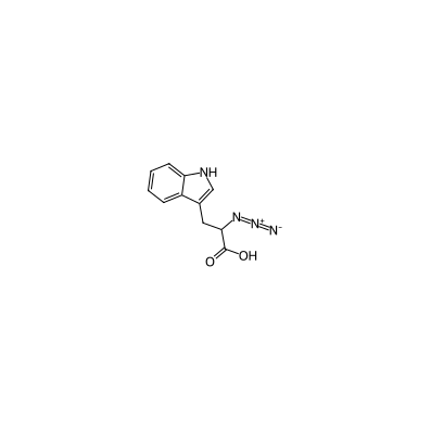 [N-]=[N+]=NC(Cc1c[nH]c2ccccc12)C(=O)O